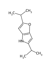 CC(C)c1cc2oc(C(C)C)cc2[nH]1